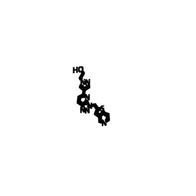 OCCn1cc(-c2ccc3nnn(Cc4cc5cnccc5s4)c3n2)cn1